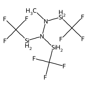 CN([SiH2]C(F)(F)F)N([SiH2]C(F)(F)F)[SiH2]C(F)(F)F